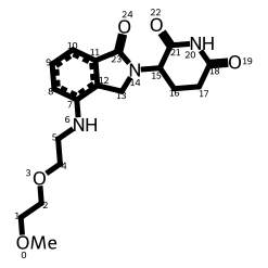 COCCOCCNc1cccc2c1CN(C1CCC(=O)NC1=O)C2=O